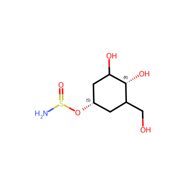 NS(=O)O[C@@H]1CC(O)[C@H](O)C(CO)C1